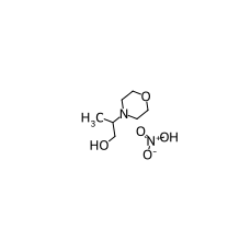 CC(CO)N1CCOCC1.O=[N+]([O-])O